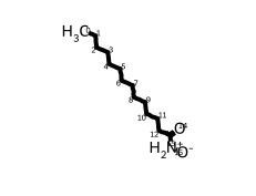 CCCCCCCCCCCCCC(=O)[NH2+][O-]